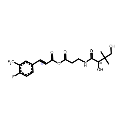 CC(C)(CO)[C@@H](O)C(=O)NCCC(=O)OC(=O)/C=C/c1ccc(F)c(C(F)(F)F)c1